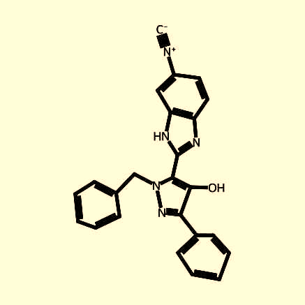 [C-]#[N+]c1ccc2nc(-c3c(O)c(-c4ccccc4)nn3Cc3ccccc3)[nH]c2c1